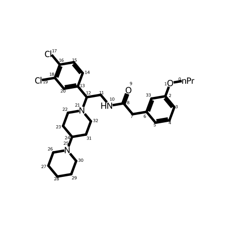 CCCOc1cccc(CC(=O)NCC(c2ccc(Cl)c(Cl)c2)N2CCC(N3CCCCC3)CC2)c1